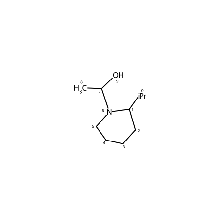 CC(C)C1CCCCN1C(C)O